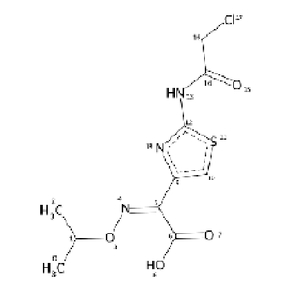 CC(C)O/N=C(\C(=O)O)c1csc(NC(=O)CCl)n1